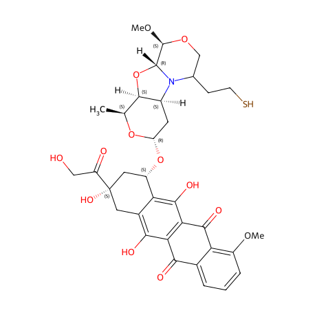 COc1cccc2c1C(=O)c1c(O)c3c(c(O)c1C2=O)C[C@@](O)(C(=O)CO)C[C@@H]3O[C@H]1C[C@H]2[C@H](O[C@@H]3[C@@H](OC)OCC(CCS)N32)[C@H](C)O1